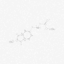 CC(C)(C)OC(=O)CNCc1ccc2sc(C(C)(C)C)cc2c1